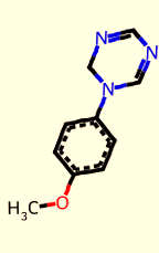 COc1ccc(N2C=NC=NC2)cc1